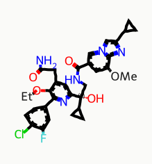 CCOc1c(CC(N)=O)cc([C@@](O)(CNC(=O)c2cc(OC)c3nc(C4CC4)cn3c2)C2CC2)nc1-c1ccc(Cl)c(F)c1